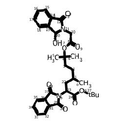 CC(CCC(C)(C)OC(=O)CN1C(=O)c2ccccc2C1O)CC(C(=O)OC(C)(C)C)N1C(=O)c2ccccc2C1=O